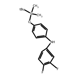 CC(C)(C)[Si](C)(C)Oc1ccc(Nc2ccc(F)c(F)c2)cc1